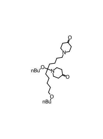 CCCCOCCCCCC(CCCCN1CCC(=O)CC1)(OCCCC)N1CCC(=O)CC1